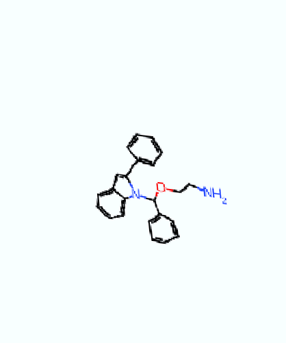 NCCOC(c1ccccc1)n1c(-c2ccccc2)cc2ccccc21